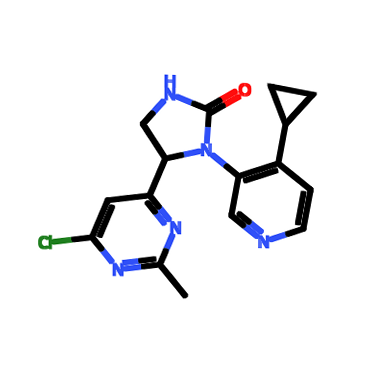 Cc1nc(Cl)cc(C2CNC(=O)N2c2cnccc2C2CC2)n1